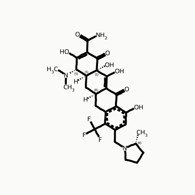 C[C@@H]1CCCN1Cc1cc(O)c2c(c1C(F)(F)F)C[C@H]1C[C@H]3[C@H](N(C)C)C(O)=C(C(N)=O)C(=O)[C@@]3(O)C(O)=C1C2=O